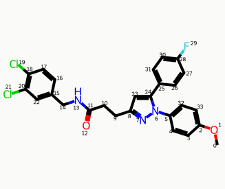 COc1ccc(-n2nc(CCC(=O)NCc3ccc(Cl)c(Cl)c3)cc2-c2ccc(F)cc2)cc1